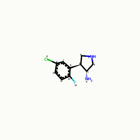 N[C@H]1CNC[C@@H]1c1cc(Cl)ccc1F